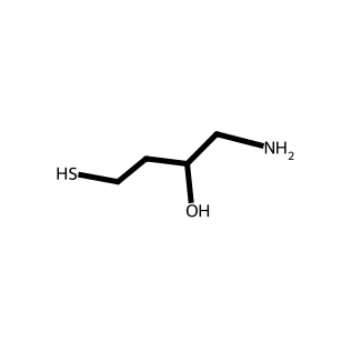 NCC(O)CCS